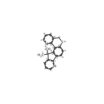 CC1(C)c2cccnc2-c2ccc3c(c21)-c1ncccc1CS3